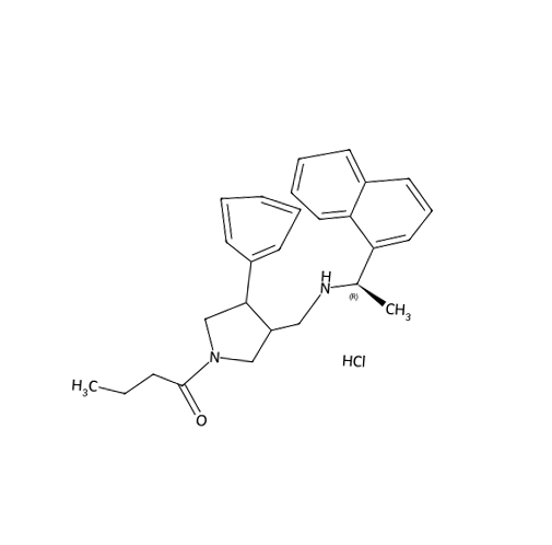 CCCC(=O)N1CC(CN[C@H](C)c2cccc3ccccc23)C(c2ccccc2)C1.Cl